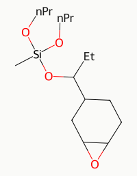 CCCO[Si](C)(OCCC)OC(CC)C1CCC2OC2C1